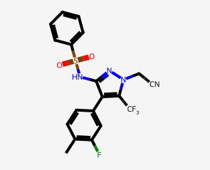 Cc1ccc(-c2c(NS(=O)(=O)c3ccccc3)nn(CC#N)c2C(F)(F)F)cc1F